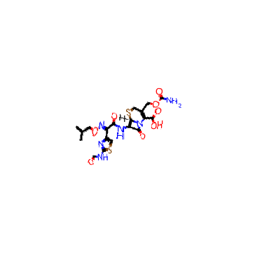 CC(C)CO/N=C(/C(=O)NC1C(=O)N2C(C(=O)O)=C(COC(N)=O)CS[C@H]12)c1csc(NC=O)n1